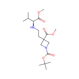 COC(=O)[C@@H](NCCC1(C(=O)OC)CN(C(=O)OC(C)(C)C)C1)C(C)C